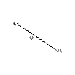 CCCCCCCCCCCCCCCCCC(N)CCCCCCCCCCCCN